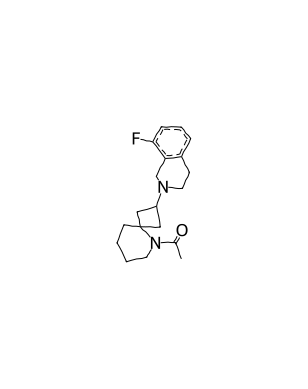 CC(=O)N1CCCCC12CC(N1CCc3cccc(F)c3C1)C2